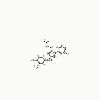 Cc1cc(-n2nc(Nc3ccc(F)c(C(F)(F)F)c3)nc2CCCCl)ccn1